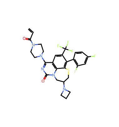 C=CC(=O)N1CCN(c2nc(=O)n3c4c(c(-c5ccc(F)cc5F)c(C(F)(F)F)cc24)SCC(N2CCC2)C3)CC1